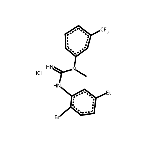 CCc1ccc(Br)c(NC(=N)N(C)c2cccc(C(F)(F)F)c2)c1.Cl